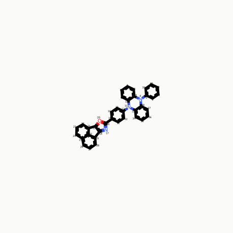 c1ccc(N2c3ccccc3N(c3ccc(-c4nc5c(o4)-c4cccc6cccc-5c46)cc3)c3ccccc32)cc1